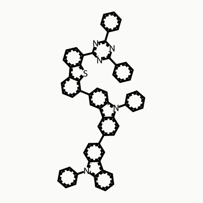 c1ccc(-c2nc(-c3ccccc3)nc(-c3cccc4c3sc3c(-c5ccc6c(c5)c5cc(-c7ccc8c(c7)c7ccccc7n8-c7ccccc7)ccc5n6-c5ccccc5)cccc34)n2)cc1